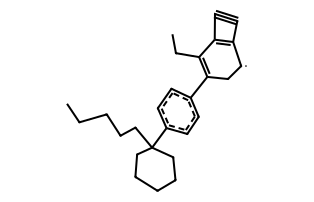 CCCCCC1(c2ccc(C3=C(CC)C4=C(C#C4)[CH]C3)cc2)CCCCC1